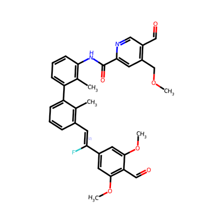 COCc1cc(C(=O)Nc2cccc(-c3cccc(/C=C(\F)c4cc(OC)c(C=O)c(OC)c4)c3C)c2C)ncc1C=O